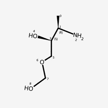 C[C@@H](N)[C@H](O)COCO